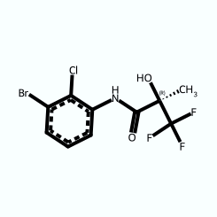 C[C@@](O)(C(=O)Nc1cccc(Br)c1Cl)C(F)(F)F